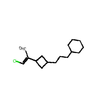 O=CC(=CCl)C1CC(CCCC2CCCCC2)C1